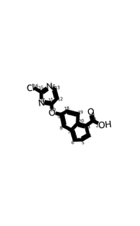 O=C(O)c1cccc2cc(Oc3ccnc(Cl)n3)ccc12